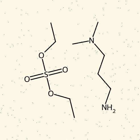 CCOS(=O)(=O)OCC.CN(C)CCCN